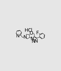 Cl.Fc1ccccc1-c1nnn2c1COC1CN(Cc3ccccn3)CC12